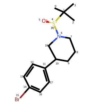 CC(C)(C)[S@+]([O-])N1CCCC(c2ccc(Br)cc2)C1